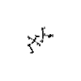 [CH2]CC(F)(F)CC(F)(F)CF